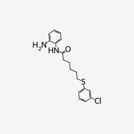 Nc1ccccc1NC(=O)CCCCCSc1cccc(Cl)c1